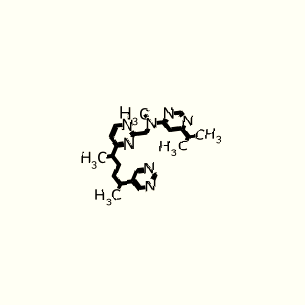 CC(C)c1cc(N(C)Cc2nccc(C(C)CCC(C)c3cncnc3)n2)ncn1